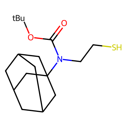 CC(C)(C)OC(=O)N(CCS)C12CC3CC(CC(C3)C1)C2